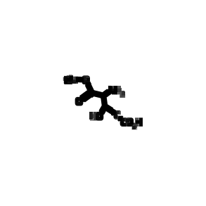 CC(C)(C)OC(=O)C(N)C(O)CC(=O)O